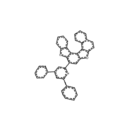 c1ccc(-c2cc(-c3ccccc3)nc(-c3cc4oc5ccc6ccccc6c5c4c4c3oc3ccccc34)c2)cc1